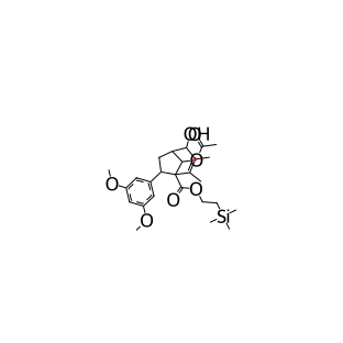 COc1cc(OC)cc(C2CC3C(O)C(C)=C(C)C2(C(=O)OCC[Si](C)(C)C)C3OC(C)=O)c1